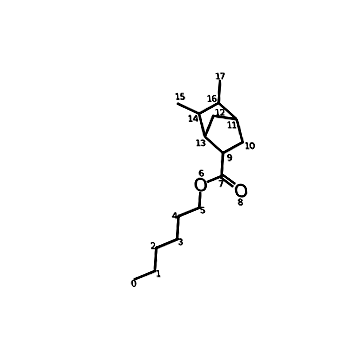 CCCCCCOC(=O)C1CC2CC1C(C)C2C